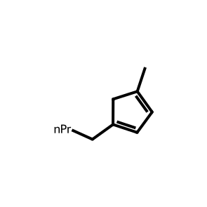 CCCCC1=CC=C(C)C1